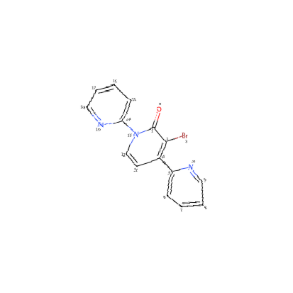 O=c1c(Br)c(-c2ccccn2)ccn1-c1ccccn1